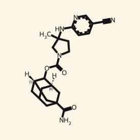 CC1(Nc2ccc(C#N)cn2)CCN(C(=O)OC2[C@@H]3CC4C[C@H]2CC(C(N)=O)(C4)C3)C1